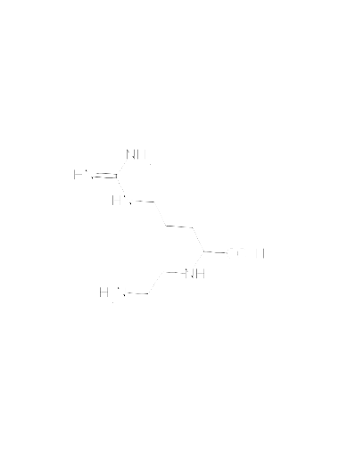 N=C(N)NCCCC(NCCN)C(=O)O